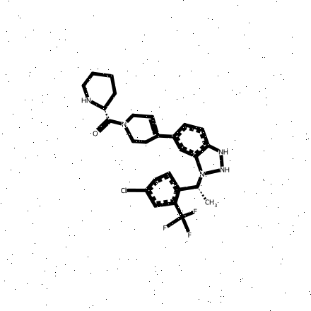 C[C@H](c1ccc(Cl)cc1C(F)(F)F)N1NNc2ccc(C3=CCN(C(=O)[C@H]4CCCCN4)CC3)cc21